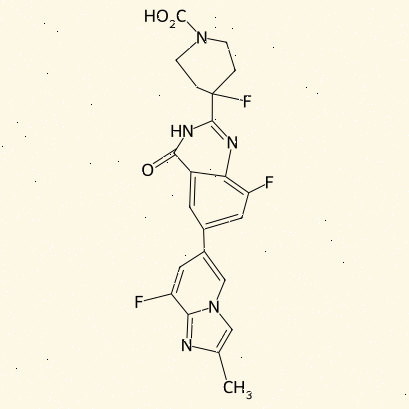 Cc1cn2cc(-c3cc(F)c4nc(C5(F)CCN(C(=O)O)CC5)[nH]c(=O)c4c3)cc(F)c2n1